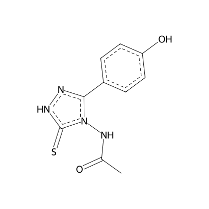 CC(=O)Nn1c(-c2ccc(O)cc2)n[nH]c1=S